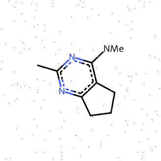 CNc1nc(C)nc2c1CCC2